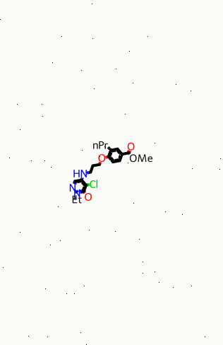 CCCc1cc(C(=O)OC)ccc1OCCCNc1cnn(CC)c(=O)c1Cl